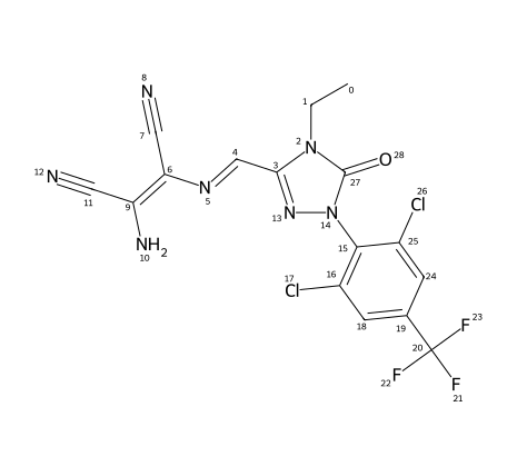 CCn1c(C=NC(C#N)=C(N)C#N)nn(-c2c(Cl)cc(C(F)(F)F)cc2Cl)c1=O